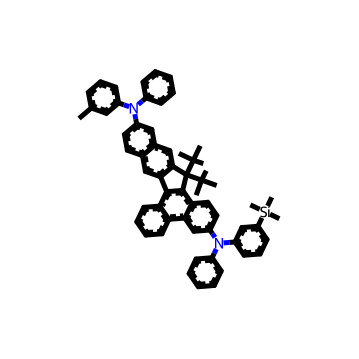 Cc1cccc(N(c2ccccc2)c2ccc3cc4c(cc3c2)C(C(C)(C)C)(C(C)(C)C)c2c-4c3ccccc3c3cc(N(c4ccccc4)c4cccc([Si](C)(C)C)c4)ccc23)c1